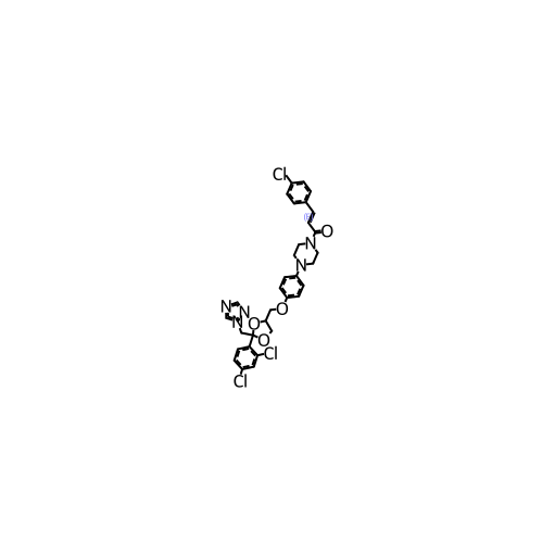 O=C(/C=C/c1ccc(Cl)cc1)N1CCN(c2ccc(OCC3COC(Cn4cncn4)(c4ccc(Cl)cc4Cl)O3)cc2)CC1